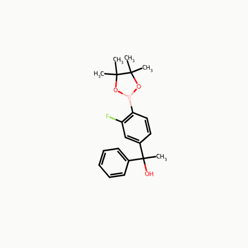 CC(O)(c1ccccc1)c1ccc(B2OC(C)(C)C(C)(C)O2)c(F)c1